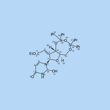 CCOC(=O)/C=C1\[C@H](N2C=CC(=O)NC2O)O[C@@H]2CO[Si](C(C)C)(C(C)C)O[Si](C(C)C)(C(C)C)O[C@@H]12